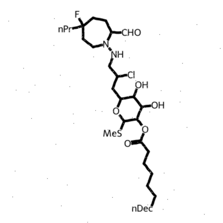 CCCCCCCCCCCCCCCC(=O)OC1C(SC)OC(CC(Cl)CNN2CCC(F)(CCC)CCC2C=O)C(O)C1O